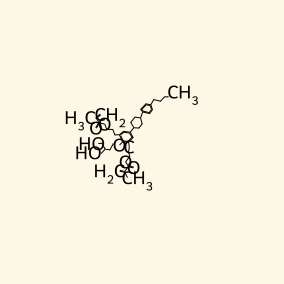 C=C(C)C(=O)OCCCc1cc(C2CCC(c3ccc(CCCCC)cc3)CC2)cc(CCCOC(=O)C(=C)C)c1OCCC(CO)CO